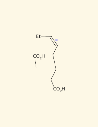 CC(=O)O.CC/C=C\CCCC(=O)O